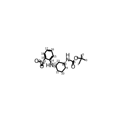 CC(C)(C)OC(=O)N[C@@H]1CCC[C@H](Nc2ccccc2[N+](=O)[O-])C1